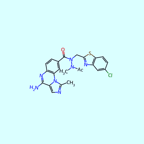 CC(=O)N(C)N(Cc1nc2cc(Cl)ccc2s1)C(=O)c1ccc2nc(N)c3cnc(C)n3c2c1